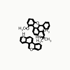 C1=CNc2ccc3c(c2=C1)=COc1ccccc1-3.COc1cccc2c1-c1ccc3c(c1C(c1ccccc1)O2)C(C)=CC(C)(C)N3